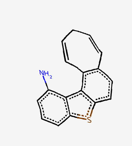 Nc1cccc2sc3ccc4c(c3c12)C=CCC=C4